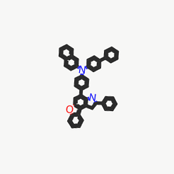 c1ccc(C2=Nc3c(-c4ccc(N(c5ccc(-c6ccccc6)cc5)c5ccc6ccccc6c5)cc4)cc4oc5ccccc5c4c3C2)cc1